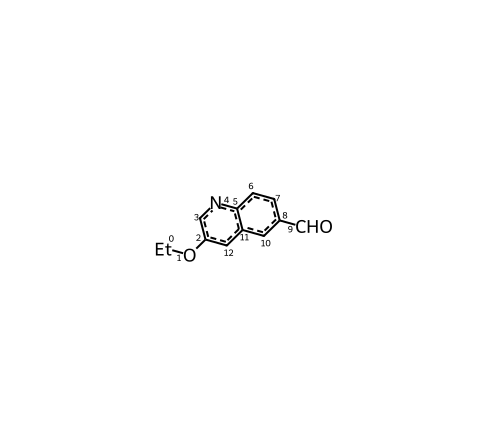 CCOc1cnc2ccc(C=O)cc2c1